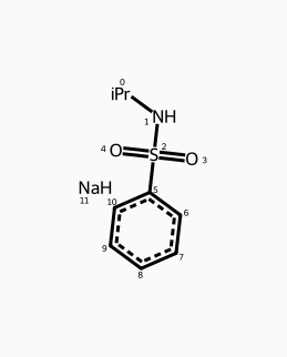 CC(C)NS(=O)(=O)c1ccccc1.[NaH]